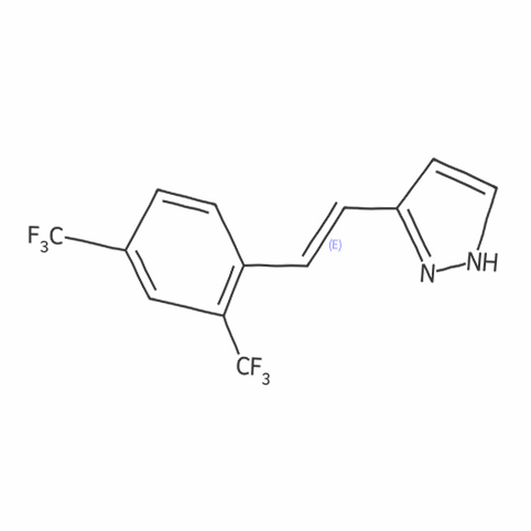 FC(F)(F)c1ccc(/C=C/c2cc[nH]n2)c(C(F)(F)F)c1